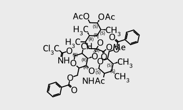 COC(=O)[C@@]1(O[C@@H]2C(C)[C@@H](OC(=N)C(Cl)(Cl)Cl)OC(COC(=O)c3ccccc3)[C@@H]2O[C@@H]2OC(COC(=O)c3ccccc3)[C@@H](C)[C@H](C)C2NC(C)=O)CC(C)[C@@H](C)[C@H]([C@H](C)[C@@H](COC(C)=O)OC(C)=O)O1